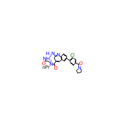 CCCN(CC(N)=O)C(=O)C1=Cc2cc(-c3ccc(C(=O)N4CCCC4)cc3Cl)ccc2N=C(N)C1